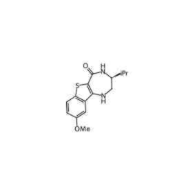 COc1ccc2sc3c(c2c1)NC[C@H](C(C)C)NC3=O